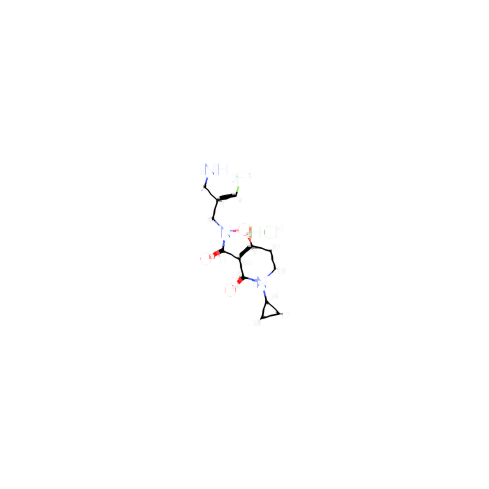 Cl.NCC(=CF)Cn1oc2c(c1=O)C(=O)N(C1CC1)CC2